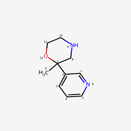 CC1(c2cccnc2)CNCCO1